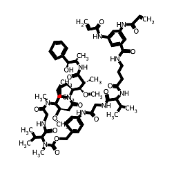 C=CC(=O)Nc1cc(NC(=O)C=C)cc(C(=O)NCCCC(=O)NC(C(=O)NCC(=O)Nc2ccc(COC(=O)N(C)C(C(=O)NCC(=O)N(C)C([C@H](C)CC)[C@@H](CC(=O)N3CCC[C@H]3[C@H](OC)[C@@H](C)C(=O)N[C@H](C)[C@@H](O)c3ccccc3)OC)C(C)C)cc2)C(C)C)c1